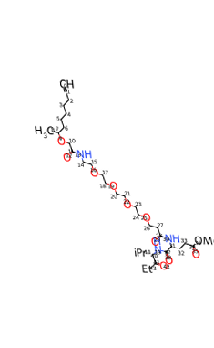 C#CCCCCCC(C)OCC(=O)NCCOCCOCCOCCOCCC(=O)N[C@H](CCC(=O)OC)C(=O)N[C@H](C(=O)CC)C(C)C